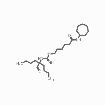 CCCCC(C=O)(CCCC)NC(=N)NCCCCCC(=O)NC1CCCCCC1